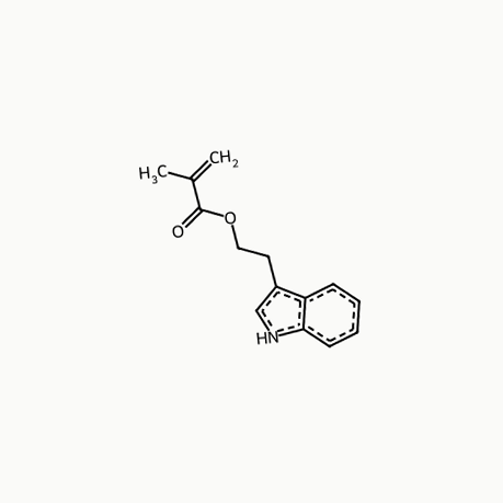 C=C(C)C(=O)OCCc1c[nH]c2ccccc12